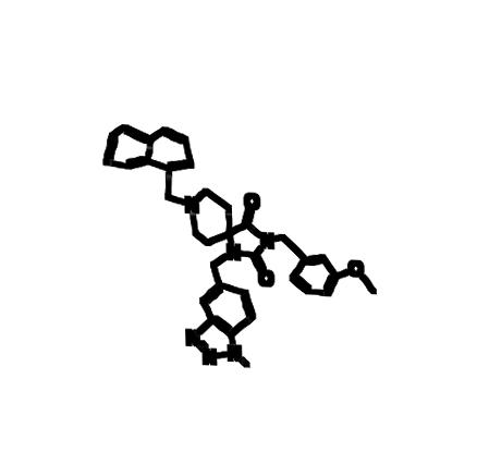 COc1cccc(CN2C(=O)N(Cc3ccc4c(c3)nnn4C)C3(CCN(Cc4cccc5ccccc45)CC3)C2=O)c1